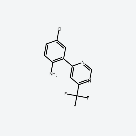 Nc1ccc(Cl)cc1-c1cc(C(F)(F)F)ncn1